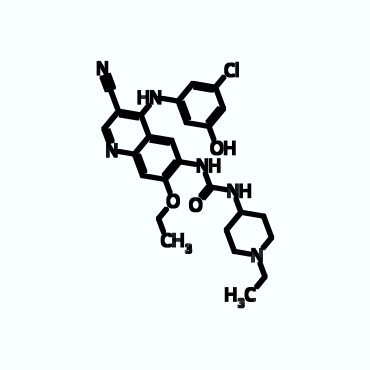 CCOc1cc2ncc(C#N)c(Nc3cc(O)cc(Cl)c3)c2cc1NC(=O)NC1CCN(CC)CC1